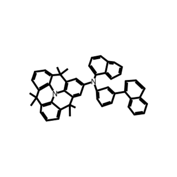 CC1(C)c2cccc3c2N2c4c1cccc4C(C)(C)c1cc(N(c4cccc(-c5cccc6ccccc56)c4)c4cccc5ccccc45)cc(c12)C3(C)C